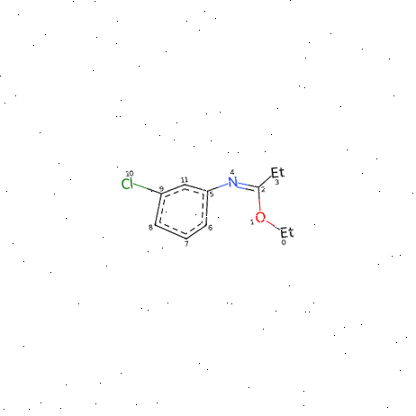 CCOC(CC)=Nc1cccc(Cl)c1